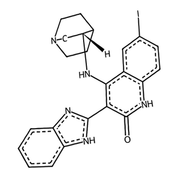 O=c1[nH]c2ccc(I)cc2c(N[C@@H]2CN3CCC2CC3)c1-c1nc2ccccc2[nH]1